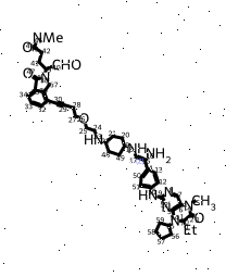 CC[C@@H]1C(=O)N(C)c2cnc(Nc3ccc(/C(N)=C/N[C@H]4CC[C@@H](NCCOCCC#Cc5cccc6c5CN(C(C=O)CCC(=O)NC)C6=O)CC4)cc3)nc2N1C1CCCC1